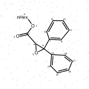 CCCCCCOC(=O)C1OC1(c1ccccc1)c1ccccc1